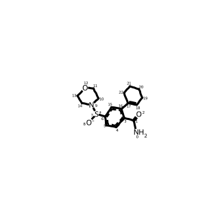 NC(=O)c1ccc([S+]([O-])N2CCOCC2)cc1C1=CCCCC1